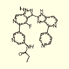 CCC(=O)Nc1cncc(-c2ncc3[nH]nc(-c4nc5c(-c6ccncc6)nccc5[nH]4)c3c2F)c1